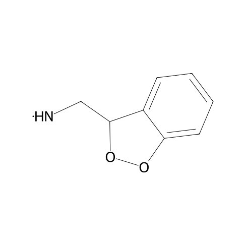 [NH]CC1OOc2ccccc21